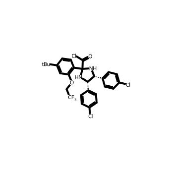 CC(C)(C)c1ccc(C2(C(=O)Cl)N[C@H](c3ccc(Cl)cc3)[C@H](c3ccc(Cl)cc3)N2)c(OCC(F)(F)F)c1